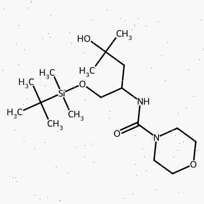 CC(C)(O)CC(CO[Si](C)(C)C(C)(C)C)NC(=O)N1CCOCC1